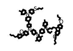 C\C=C/C(=C\C=C\C1c2cc(OCCCC)ccc2-c2ccc(OCCCC)cc21)N(c1ccc(C)cc1)c1ccc(N(c2ccc(N(c3ccc(-c4ccc(N(c5ccc(C)cc5)c5ccc(SCCCC)cc5)cc4)cc3)c3ccc4c(c3)oc3cc(CCCC)ccc34)cc2)c2cc(C)ccc2C)cc1